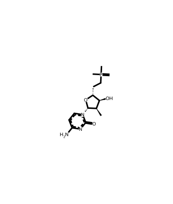 C=P(C)(C)CC[C@H]1O[C@@H](n2ccc(N)nc2=O)[C@H](C)[C@@H]1O